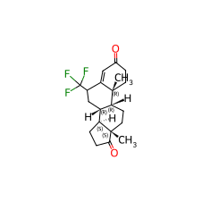 C[C@]12CCC(=O)C=C1C(C(F)(F)F)C[C@@H]1[C@H]2CC[C@]2(C)C(=O)CC[C@@H]12